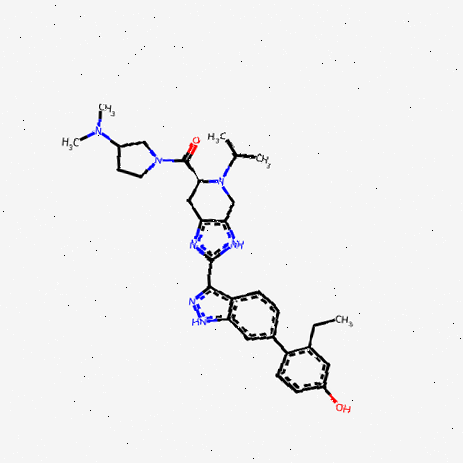 CCc1cc(O)ccc1-c1ccc2c(-c3nc4c([nH]3)CN(C(C)C)[C@H](C(=O)N3CCC(N(C)C)C3)C4)n[nH]c2c1